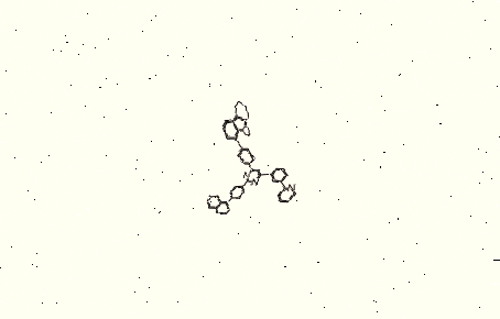 c1ccc(-c2cccc(-c3cc(-c4ccc(-c5cccc6c7c(oc56)CCCC7)cc4)nc(-c4ccc(-c5cccc6ccccc56)cc4)n3)c2)nc1